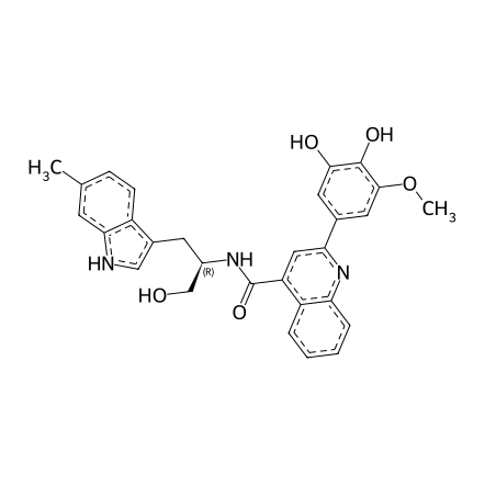 COc1cc(-c2cc(C(=O)N[C@@H](CO)Cc3c[nH]c4cc(C)ccc34)c3ccccc3n2)cc(O)c1O